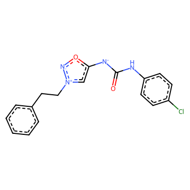 O=C([N-]c1c[n+](CCc2ccccc2)no1)Nc1ccc(Cl)cc1